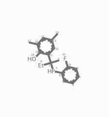 CCC(C)(Pc1ccccc1F)c1cc(C)cc(C)c1O